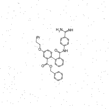 CC(C)CCOc1ccc(-c2ccccc2C(=O)Nc2ccc(C(=N)N)cc2)c(C(=O)OCc2ccccc2)c1